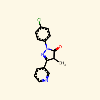 CC1C(=O)N(c2ccc(Cl)cc2)N=C1c1cccnc1